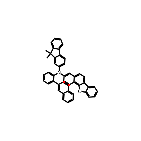 CC1(C)c2ccccc2-c2ccc(N(c3ccc4c(ccc5c6ccccc6oc45)c3)c3ccccc3-c3ccc4ccccc4c3)cc21